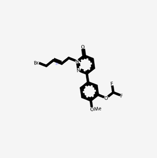 COc1ccc(-c2ccc(=O)n(C/C=C/CBr)n2)cc1OC(F)F